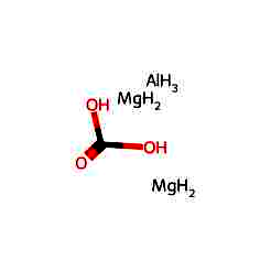 O=C(O)O.[AlH3].[MgH2].[MgH2]